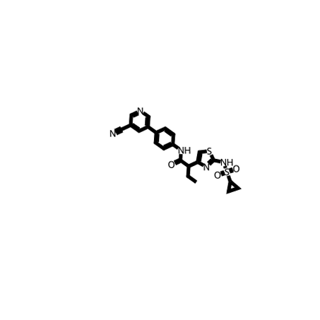 CCC(C(=O)Nc1ccc(-c2cncc(C#N)c2)cc1)c1csc(NS(=O)(=O)C2CC2)n1